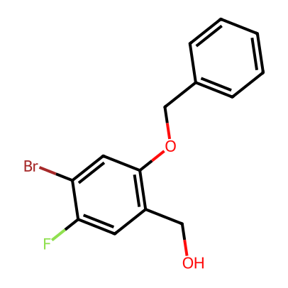 OCc1cc(F)c(Br)cc1OCc1ccccc1